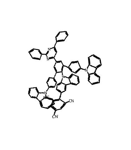 N#Cc1cc(C#N)c(-c2ccc3c(c2)c2ccccc2n3-c2c(-c3ccc(-n4c5ccccc5c5ccccc54)cc3)cc(-c3cc(-c4ccccc4)nc(-c4ccccc4)n3)cc2-c2ccc(-n3c4ccccc4c4ccccc43)cc2)c(C#N)c1